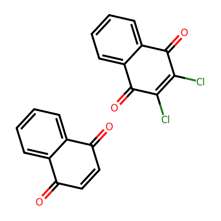 O=C1C(Cl)=C(Cl)C(=O)c2ccccc21.O=C1C=CC(=O)c2ccccc21